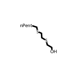 CCCCCCSCCSCCO